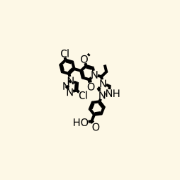 CCC(N1CNN(c2ccc(C(=O)O)cc2)C1)n1cc(OC)c(-c2cc(Cl)ccc2-n2cc(Cl)nn2)cc1=O